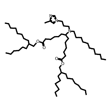 CCCCCCCCCCCN(CCCn1cnc(C)c1)C(CCCCCC(=O)OCC(CCCCCC)CCCCCCCC)CCCCCC(=O)OCC(CCCCCC)CCCCCCCC